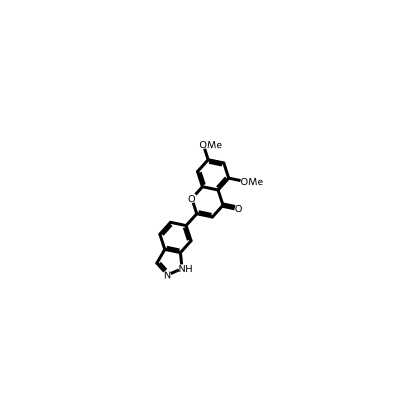 COc1cc(OC)c2c(=O)cc(-c3ccc4cn[nH]c4c3)oc2c1